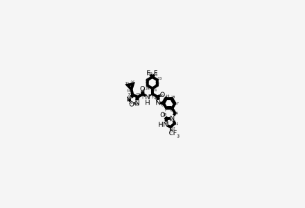 O=C(N[C@H](c1nc2cc(CN3C[C@@H](C(F)(F)F)NC3=O)ccc2o1)C1CCC(F)(F)CC1)c1nonc1C1CC1